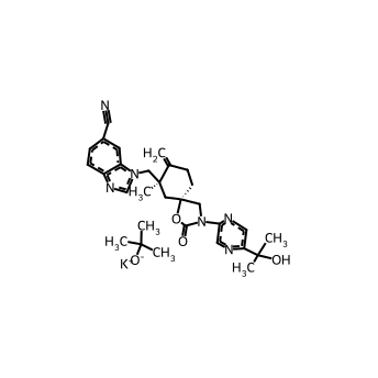 C=C1CC[C@@]2(CN(c3cnc(C(C)(C)O)cn3)C(=O)O2)C[C@@]1(C)Cn1cnc2ccc(C#N)cc21.CC(C)(C)[O-].[K+]